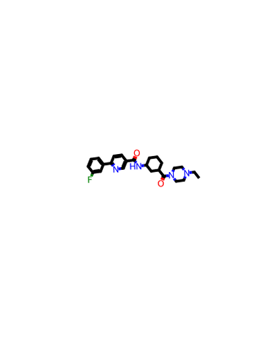 CCN1CCN(C(=O)C2CCCC(NC(=O)c3ccc(-c4cccc(F)c4)nc3)C2)CC1